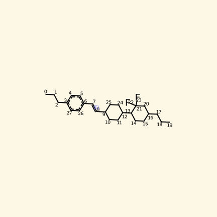 CCCc1ccc(/C=C/C2CCC(C3CCC(CCC)CC3(F)F)CC2)cc1